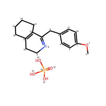 COc1ccc(CC2=NCCC3=C2CCCC3)cc1.O=P(O)(O)O